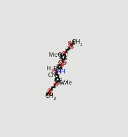 [C-]#[N+]/C(=C\c1ccc(OCCCCOC(=O)C=C)c(OC)c1)C(=O)Nc1ccc(OC(=O)c2ccc(OCCCCOC(=O)C=C)c(OC)c2)cc1C